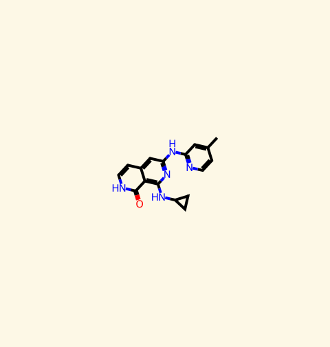 Cc1ccnc(Nc2cc3cc[nH]c(=O)c3c(NC3CC3)n2)c1